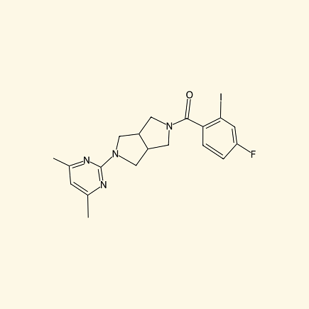 Cc1cc(C)nc(N2CC3CN(C(=O)c4ccc(F)cc4I)CC3C2)n1